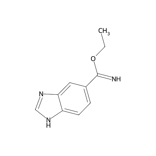 CCOC(=N)c1ccc2[nH]cnc2c1